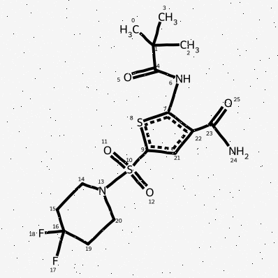 CC(C)(C)C(=O)Nc1sc(S(=O)(=O)N2CCC(F)(F)CC2)cc1C(N)=O